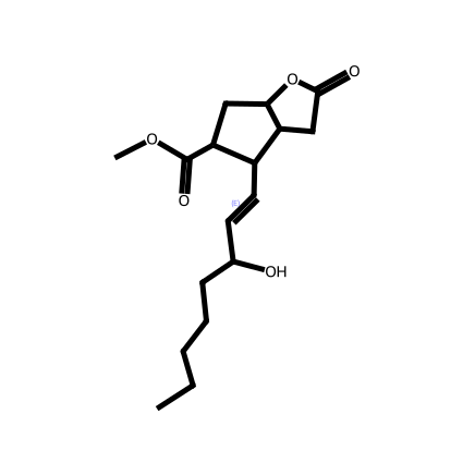 CCCCCC(O)/C=C/C1C(C(=O)OC)CC2OC(=O)CC21